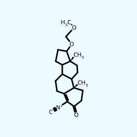 [C-]#[N+]C1=C2CCC3C4CCC(OCOC)[C@]4(C)CCC3[C@]2(C)CCC1=O